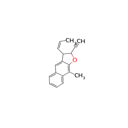 C#CC1Oc2c(cc3ccccc3c2C)C1/C=C\C